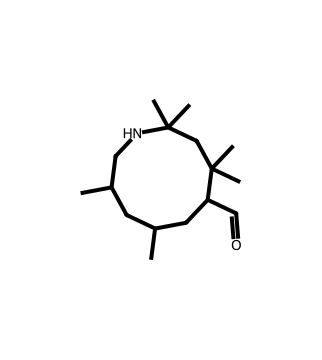 CC1CNC(C)(C)CC(C)(C)C(C=O)CC(C)C1